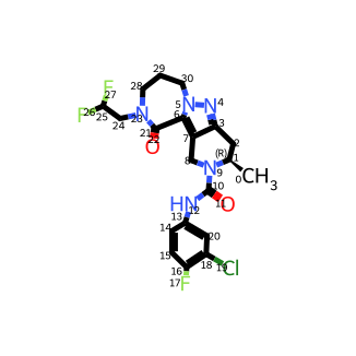 C[C@@H]1Cc2nn3c(c2CN1C(=O)Nc1ccc(F)c(Cl)c1)C(=O)N(CC(F)F)CCC3